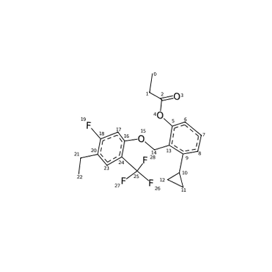 CCC(=O)Oc1cccc(C2CC2)c1COc1cc(F)c(CC)cc1C(F)(F)F